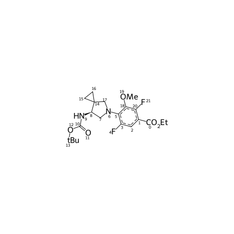 CCOC(=O)c1cc(F)c(N2C[C@@H](NC(=O)OC(C)(C)C)C3(CC3)C2)c(OC)c1F